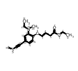 CCOC(=O)CCCOc1ccc(C#CSI)cc1N(C)CC